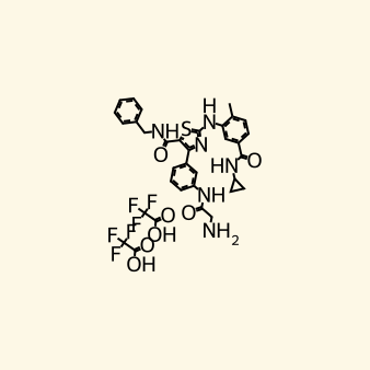 Cc1ccc(C(=O)NC2CC2)cc1Nc1nc(-c2cccc(NC(=O)CN)c2)c(C(=O)NCc2ccccc2)s1.O=C(O)C(F)(F)F.O=C(O)C(F)(F)F